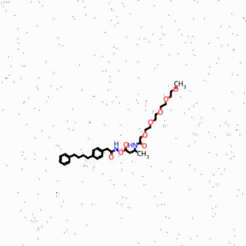 COCCOCCOCCOCCOCC(=O)NC(C)CC(=O)ONC(=O)Cc1ccc(CCCCc2ccccc2)cc1